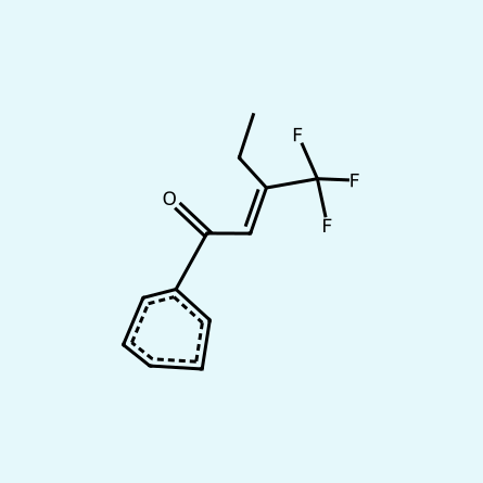 CC/C(=C\C(=O)c1ccccc1)C(F)(F)F